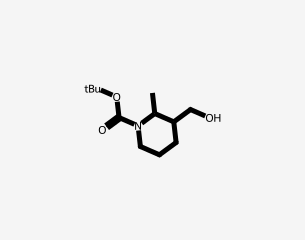 CC1C(CO)CCCN1C(=O)OC(C)(C)C